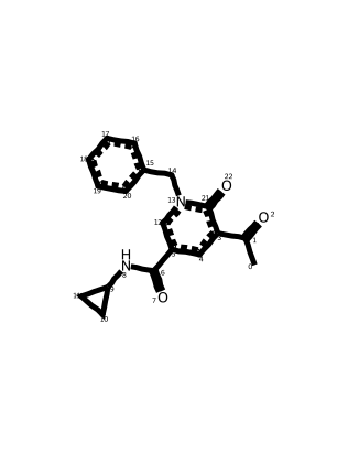 CC(=O)c1cc(C(=O)NC2CC2)cn(Cc2ccccc2)c1=O